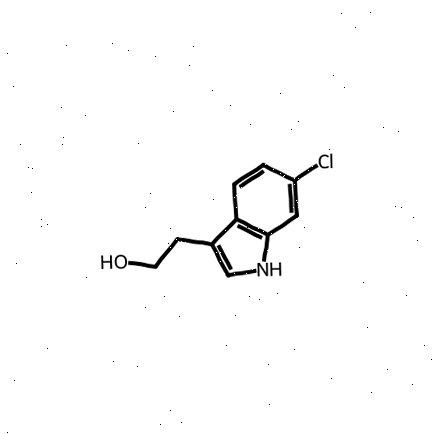 OCCc1c[nH]c2cc(Cl)ccc12